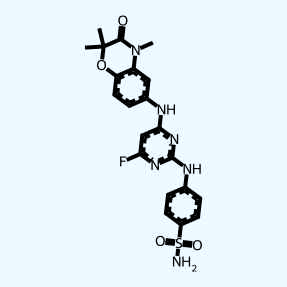 CN1C(=O)C(C)(C)Oc2ccc(Nc3cc(F)nc(Nc4ccc(S(N)(=O)=O)cc4)n3)cc21